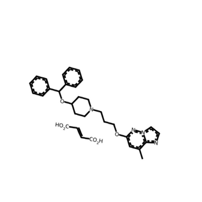 Cc1cc(OCCCN2CCC(OC(c3ccccc3)c3ccccc3)CC2)nn2ccnc12.O=C(O)/C=C/C(=O)O